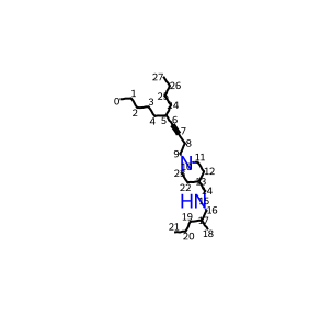 CCCCCC(C#CCCN1CCC(CNCC(C)CCC)CC1)CCCC